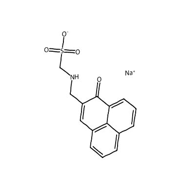 O=C1C(CNCS(=O)(=O)[O-])=Cc2cccc3cccc1c23.[Na+]